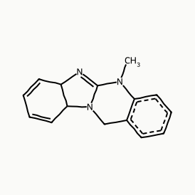 CN1C2=NC3C=CC=CC3N2Cc2ccccc21